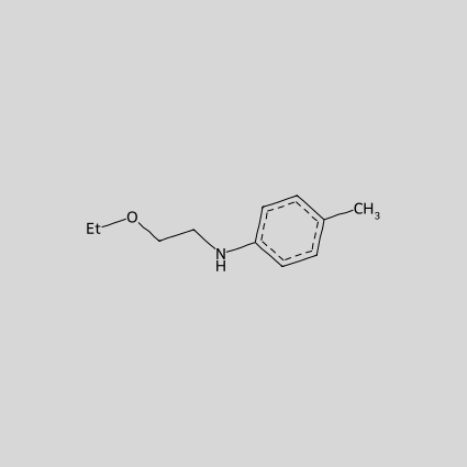 CCOCCNc1ccc(C)cc1